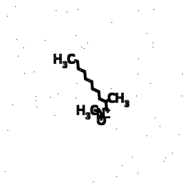 CCCCCCCCCC(C)/C=[N+](\C)[O-]